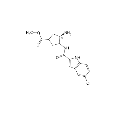 COC(=O)C1CC(NC(=O)c2cc3cc(Cl)ccc3[nH]2)[C@H](N)C1